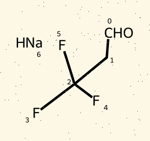 O=CCC(F)(F)F.[NaH]